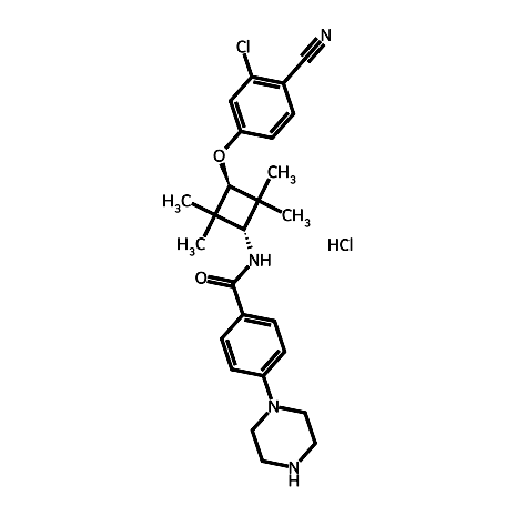 CC1(C)[C@H](NC(=O)c2ccc(N3CCNCC3)cc2)C(C)(C)[C@H]1Oc1ccc(C#N)c(Cl)c1.Cl